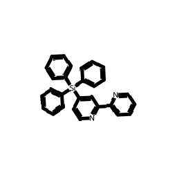 c1ccc([Si](c2ccccc2)(c2ccccc2)c2ccnc(-c3ccccn3)c2)cc1